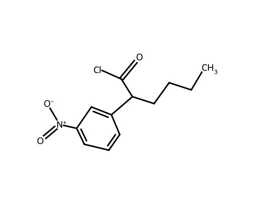 CCCCC(C(=O)Cl)c1cccc([N+](=O)[O-])c1